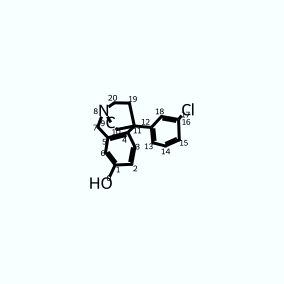 Oc1ccc2c(c1)CN1CCC2(c2cccc(Cl)c2)CC1